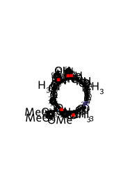 COc1cc(CC[C@H]2OC(=O)[C@@H]3CCCCN3C(=O)C(=O)C(C)(C)COC(=O)/C=C/CCCCN(C)C(=O)CNC(=O)CN(C)C(=O)[C@@H](Cc3ccccc3)NC(=O)[C@H](Cc3ccc(O)cc3)N(C)C(=O)COc3cccc2c3)cc(OC)c1OC